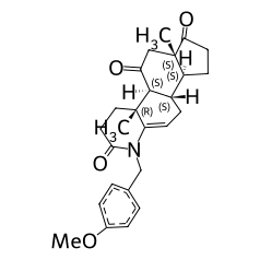 COc1ccc(CN2C(=O)CC[C@@]3(C)C2=CC[C@@H]2[C@@H]3C(=O)C[C@]3(C)C(=O)CC[C@@H]23)cc1